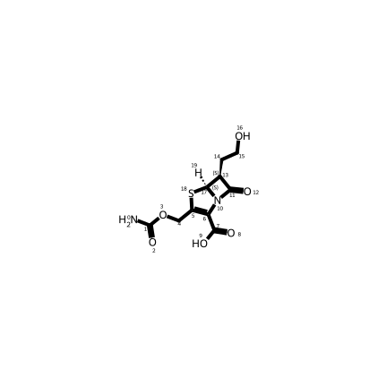 NC(=O)OCC1=C(C(=O)O)N2C(=O)[C@H](CCO)[C@@H]2S1